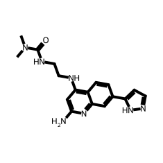 CN(C)C(=O)NCCNc1cc(N)nc2cc(-c3ccn[nH]3)ccc12